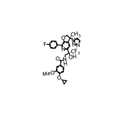 COc1cc(C(=O)NC[C@](O)(c2cc3c(c(-c4ccc(F)cc4)n2)OC[C@]3(C)n2ccnn2)C(F)(F)F)ccc1OC1CC1